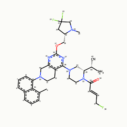 Cc1cccc2cccc(N3CCc4c(nc(OC[C@@H]5CC(F)(F)CN5C)nc4N4CCN(C(=O)/C=C/CF)[C@@H]([C@@H]([SiH3])C#N)C4)C3)c12